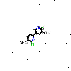 O=Cc1cc(-c2ccc(C=O)c(Cl)n2)cnc1Cl